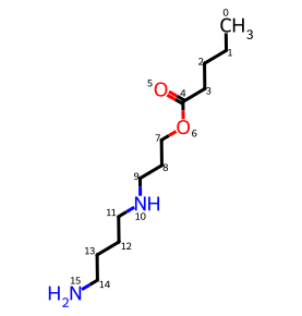 CCCCC(=O)OCCCNCCCCN